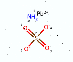 N.O=S(=O)([O-])[O-].[Pb+2]